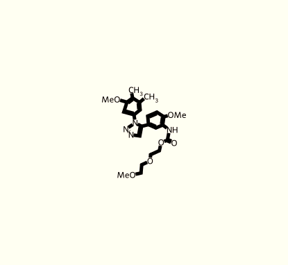 COCCOCCOC(=O)Nc1cc(-c2cnnn2-c2cc(C)c(C)c(OC)c2)ccc1OC